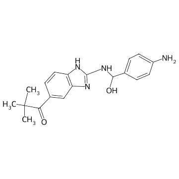 CC(C)(C)C(=O)c1ccc2[nH]c(NC(O)c3ccc(N)cc3)nc2c1